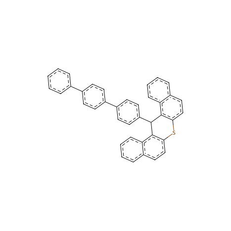 c1ccc(-c2ccc(-c3ccc(C4c5c(ccc6ccccc56)Sc5ccc6ccccc6c54)cc3)cc2)cc1